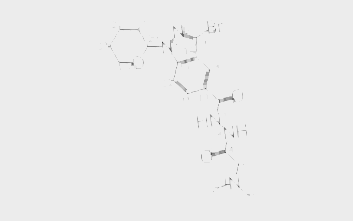 CN(C)CC(=O)NNC(=O)c1ccc2c(c1)c(Br)nn2C1CCCCO1